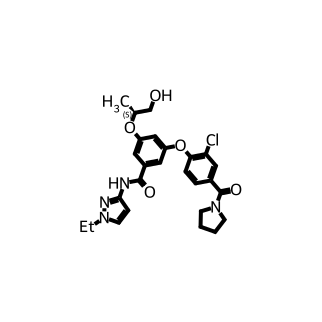 CCn1ccc(NC(=O)c2cc(Oc3ccc(C(=O)N4CCCC4)cc3Cl)cc(O[C@@H](C)CO)c2)n1